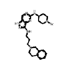 CC(=O)N1CCC(Nc2ncc3[nH]nc(NCCCN4CCc5ccccc5C4)c3n2)CC1